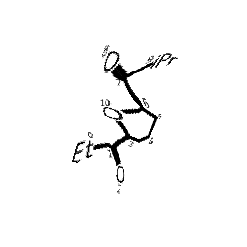 CCC(=O)C1CCC(C(=O)C(C)C)O1